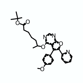 COc1ccc(-c2c(-c3ccccn3)oc3ncnc(OC(C)CCCCC(=O)OC(C)(C)C)c23)cc1